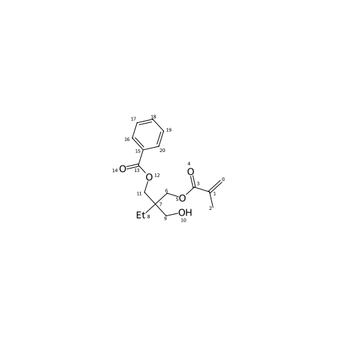 C=C(C)C(=O)OCC(CC)(CO)COC(=O)c1ccccc1